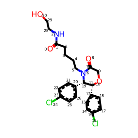 O=C(CCCCN1C(=O)CO[C@H](c2ccc(Cl)cc2)[C@@H]1c1ccc(Cl)cc1)NCCO